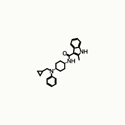 Cc1[nH]c2ccccc2c1C(=O)N[C@H]1CC[C@@H](N(CC2CC2)c2ccccc2)CC1